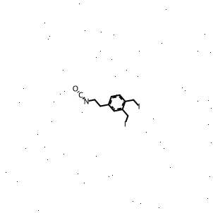 O=C=NCCc1ccc(CI)c(CI)c1